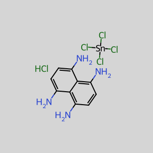 Cl.Nc1ccc(N)c2c(N)ccc(N)c12.[Cl][Sn]([Cl])([Cl])[Cl]